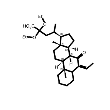 CC=C1C(=O)[C@H]2[C@@H]3CC[C@H](C(C)CC(OCC)(OCC)C(=O)O)[C@@]3(C)CC[C@@H]2[C@@]2(C)CCCCC12